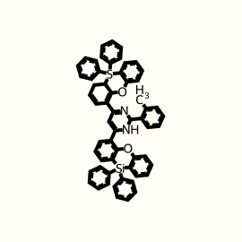 Cc1ccccc1C1N=C(C2=C3Oc4ccccc4S(c4ccccc4)(c4ccccc4)C3CC=C2)C=C(c2cccc3c2Oc2ccccc2[Si]3(c2ccccc2)c2ccccc2)N1